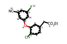 CCOC(=O)Cc1ccc(Cl)c(Oc2cc(F)cc(C#N)c2)c1